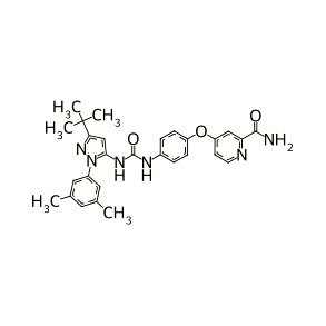 Cc1cc(C)cc(-n2nc(C(C)(C)C)cc2NC(=O)Nc2ccc(Oc3ccnc(C(N)=O)c3)cc2)c1